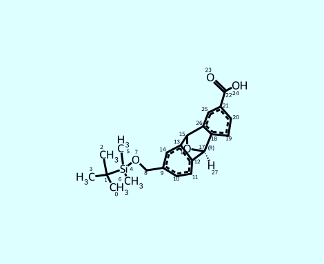 CC(C)(C)[Si](C)(C)OCc1ccc2c(c1)C1O[C@H]2c2ccc(C(=O)O)cc21